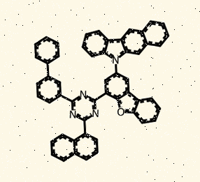 c1ccc(-c2cccc(-c3nc(-c4cccc5ccccc45)nc(-c4cc(-n5c6ccccc6c6cc7ccccc7cc65)cc5c4oc4ccccc45)n3)c2)cc1